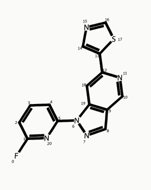 Fc1cccc(-n2ncc3cnc(-c4cncs4)cc32)n1